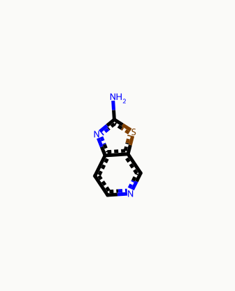 Nc1nc2ccncc2s1